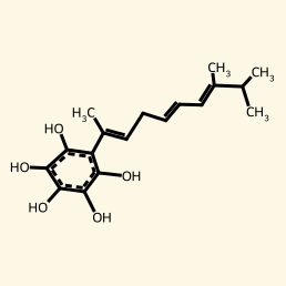 C/C(=C\C/C=C/C=C(\C)C(C)C)c1c(O)c(O)c(O)c(O)c1O